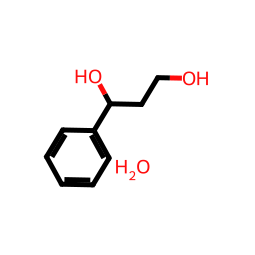 O.OCCC(O)c1ccccc1